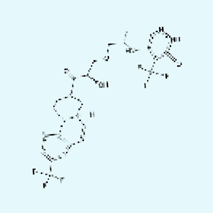 C[C@@H](COC[C@@H](O)C(=O)N1CCN2c3ncc(C(F)(F)F)cc3C=C[C@@H]2C1)Nc1cn[nH]c(=O)c1C(F)(F)F